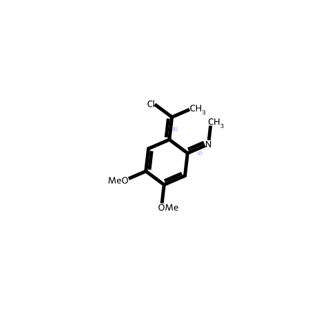 C/N=C1/C=C(OC)C(OC)=C/C1=C(/C)Cl